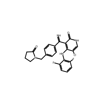 N=C(c1ccc(CN2CCCC2=O)cc1)c1c(Nc2c(F)cccc2F)c(Cl)c[nH]c1=O